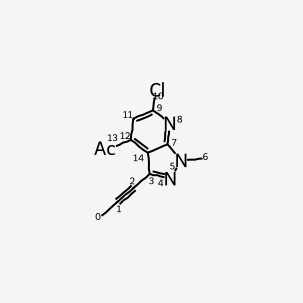 CC#Cc1nn(C)c2nc(Cl)cc(C(C)=O)c12